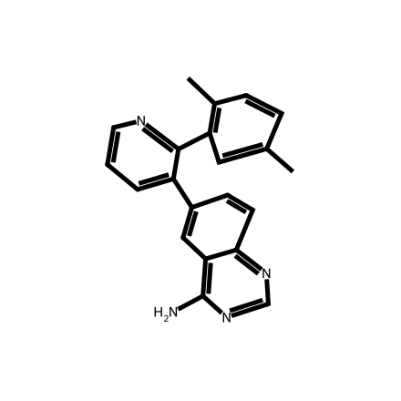 Cc1ccc(C)c(-c2ncccc2-c2ccc3ncnc(N)c3c2)c1